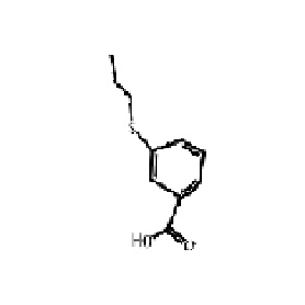 CCCSc1cccc(C(=O)O)c1